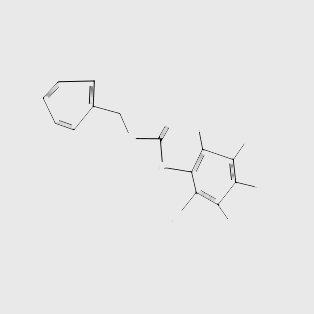 Cc1c(C)c(NC(=O)OCc2ccccc2)c(C)c(Cl)c1O